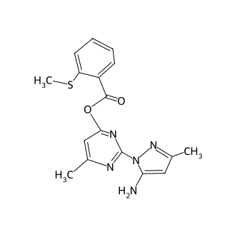 CSc1ccccc1C(=O)Oc1cc(C)nc(-n2nc(C)cc2N)n1